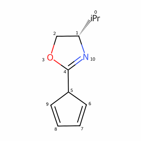 CC(C)[C@H]1COC(C2C=CC=C2)=N1